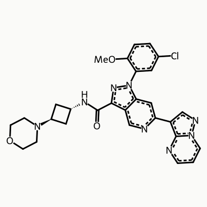 COc1ccc(Cl)cc1-n1nc(C(=O)N[C@H]2C[C@H](N3CCOCC3)C2)c2cnc(-c3cnn4cccnc34)cc21